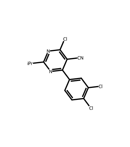 CC(C)c1nc(Cl)c(C#N)c(-c2ccc(Cl)c(Cl)c2)n1